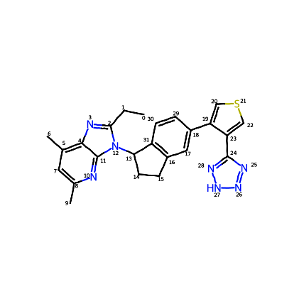 CCc1nc2c(C)cc(C)nc2n1C1CCc2cc(-c3cscc3-c3nn[nH]n3)ccc21